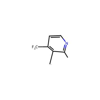 [CH2]c1c(C(F)(F)F)ccnc1C